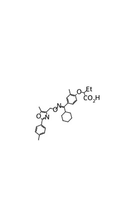 CCC(Oc1ccc(/C(=N/OCc2nc(-c3ccc(C)cc3)oc2C)C2CCCCC2)cc1C)C(=O)O